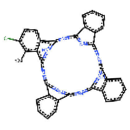 CCCCc1c(Cl)ccc2c3nc4nc(nc5[nH]c(nc6nc(nc([nH]3)c12)-c1ccccc1-6)c1ccccc51)-c1ccccc1-4